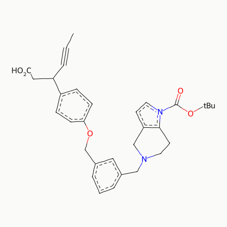 CC#CC(CC(=O)O)c1ccc(OCc2cccc(CN3CCc4c(ccn4C(=O)OC(C)(C)C)C3)c2)cc1